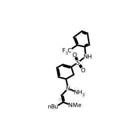 CCCC/C(=C/N(N)C1C=CC=C(S(=O)(=O)Nc2ccccc2C(F)(F)F)C1)NC